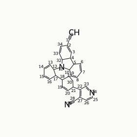 C#CC1=CC2C3C=CC=CC3N(C3C=CC=CC3C3C=CC(c4cnccc4C#N)CC3)C2C=C1